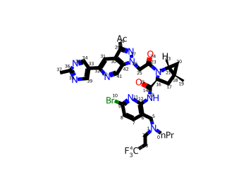 CCCN(CCC(F)(F)F)Cc1ccc(Br)nc1NC(=O)[C@@H]1C[C@@]2(C)C[C@H]2N1C(=O)Cn1nc(C(C)=O)c2cc(-c3cnc(C)nc3)ncc21